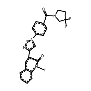 O=C(c1ccc(-n2cc(-c3cc4ccccc4n(F)c3=O)nn2)cc1)N1CCC(F)(F)C1